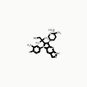 Cc1cc(-n2c(C(C)(C)CC#N)c([C@@H]3CC[C@@](C)(C(=O)O)OC3)c3nc4[nH]ncc4cc32)ccc1F